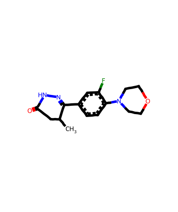 CC1CC(=O)NN=C1c1ccc(N2CCOCC2)c(F)c1